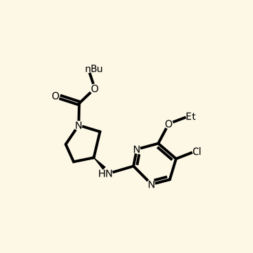 CCCCOC(=O)N1CC[C@H](Nc2ncc(Cl)c(OCC)n2)C1